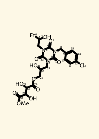 CCC(O)Cn1c(=O)n(Cc2ccc(Cl)cc2)c(=O)n(CC(O)COC(=O)C(O)C(O)C(=O)OC)c1=O